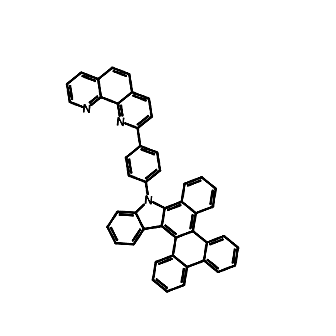 c1cnc2c(c1)ccc1ccc(-c3ccc(-n4c5ccccc5c5c6c7ccccc7c7ccccc7c6c6ccccc6c54)cc3)nc12